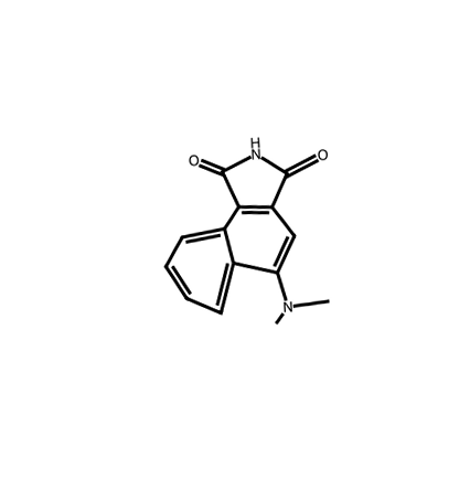 CN(C)c1cc2c(c3ccccc13)C(=O)NC2=O